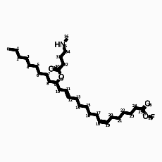 CCCCCCCCCC(C/C=C/CCCCC/C=C\CCCCCC(=O)OF)OC(=O)CCCNC